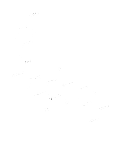 CCn1c(=O)n(Cc2ccc(C(=O)OC)cc2)c(=O)c2cc(C(=O)NCc3ccc(OC)cc3)ccc21